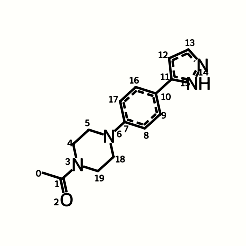 CC(=O)N1CCN(c2ccc(-c3ccn[nH]3)cc2)CC1